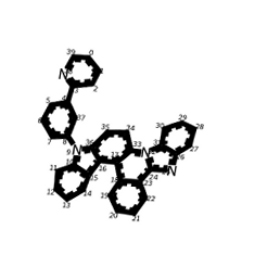 c1ccc(-c2cccc(-n3c4ccccc4c4c5c6ccccc6c6nc7ccccc7n6c5ccc43)c2)nc1